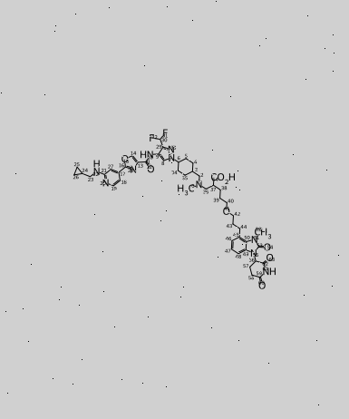 CN(CC1CCC(n2cc(NC(=O)c3coc(-c4ccnc(NCC5CC5)c4)n3)c(C(F)F)n2)CC1)CC(CCCOCCCc1cccc2c1n(C)c(=O)n2C1CCC(=O)NC1=O)C(=O)O